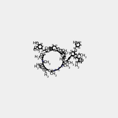 CCn1c(-c2nonc2N)nc2c(C#CC(C)(C)O[C@@H]3C[C@@H]4CC[C@@H](C)[C@@](O)(O4)C(=O)C(=O)N4CCCC[C@H]4C(=O)O[C@H](C(C)C[C@H]4CC[C@@H](O)[C@H](OC)C4)CC(=O)[C@H](C)/C=C(\C)[C@@H](O)[C@@H](OC)C(=O)[C@H](C)C[C@H](C)/C=C/C=C/C=C\3C)ncc(OC[C@H]3CCCNC3)c21